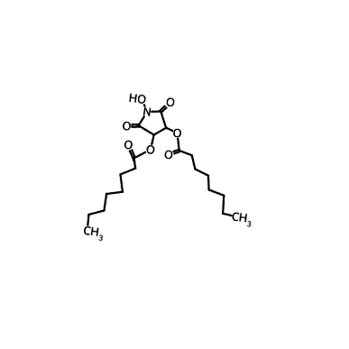 CCCCCCCC(=O)OC1C(=O)N(O)C(=O)C1OC(=O)CCCCCCC